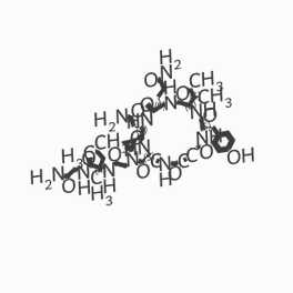 CC[C@H](C)[C@@H]1NC(=O)[C@H](Cc2ccc(O)cc2)NC(=O)CCC(=O)NC[C@@H](C(=O)N(CC(=O)N[C@](C)(CC(C)C)C(=O)NCC(N)=O)C2CC2)NC(=O)[C@H](CC(N)=O)NC(=O)[C@H](CCC(N)=O)NC1=O